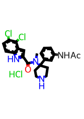 CC(=O)Nc1cccc(C2(N(C)C(=O)c3cc4c(Cl)c(Cl)ccc4[nH]3)CCNCC2)c1.Cl